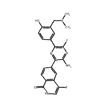 CN(C)Cc1cc(-c2nc(-c3ccc4c(=O)[nH]cc(F)c4c3)c(N)nc2F)ccc1O